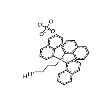 CCCC[P+](c1cccc2ccccc12)(c1cccc2ccccc12)c1cccc2ccccc12.O=P([O-])([O-])[O-].[H+].[H+]